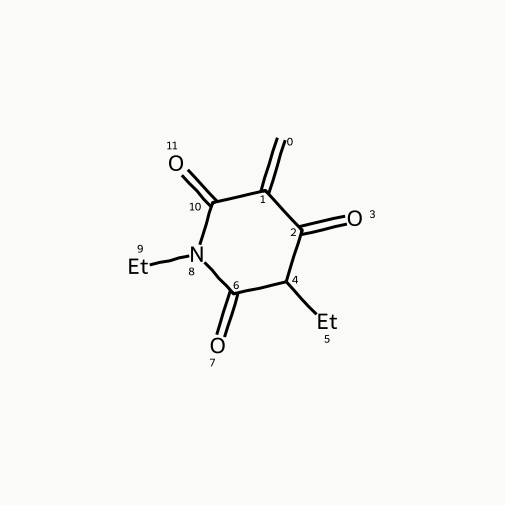 C=C1C(=O)C(CC)C(=O)N(CC)C1=O